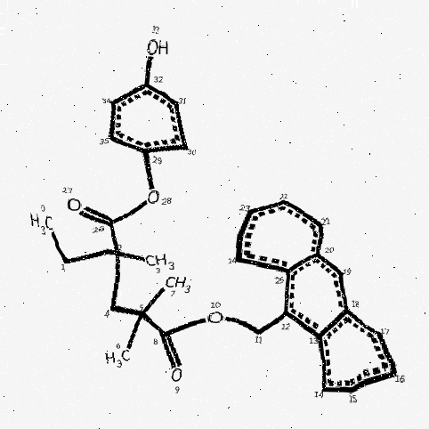 CCC(C)(CC(C)(C)C(=O)OCc1c2ccccc2cc2ccccc12)C(=O)Oc1ccc(O)cc1